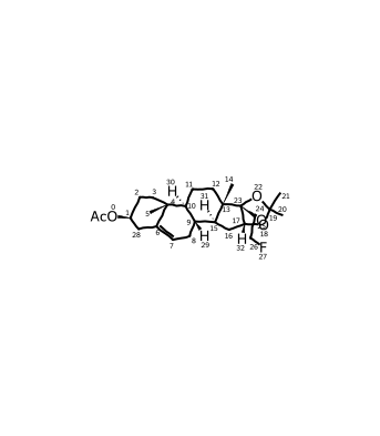 CC(=O)O[C@H]1CC[C@@]2(C)C(=CC[C@@H]3[C@@H]2CC[C@@]2(C)[C@H]3C[C@H]3OC(C)(C)O[C@]32C(=O)CF)C1